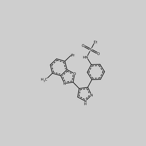 CCS(=O)(=O)Nc1cccc(-c2n[nH]cc2-c2nc3c(C)ccc(C(C)C)c3o2)c1